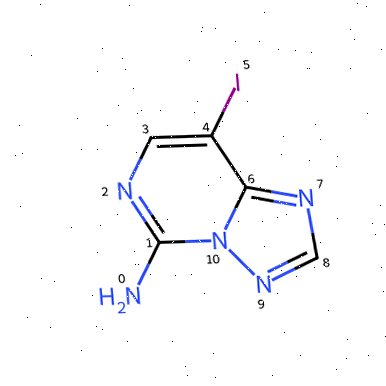 Nc1ncc(I)c2ncnn12